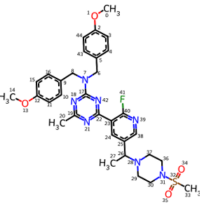 COc1ccc(CN(Cc2ccc(OC)cc2)c2nc(C)nc(-c3cc(C(C)N4CCN(S(C)(=O)=O)CC4)cnc3F)n2)cc1